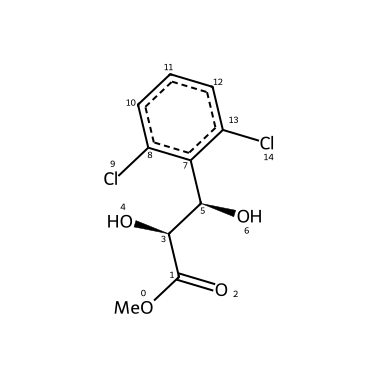 COC(=O)[C@@H](O)[C@H](O)c1c(Cl)cccc1Cl